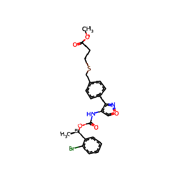 COC(=O)CCSCc1ccc(-c2nocc2NC(=O)O[C@H](C)c2ccccc2Br)cc1